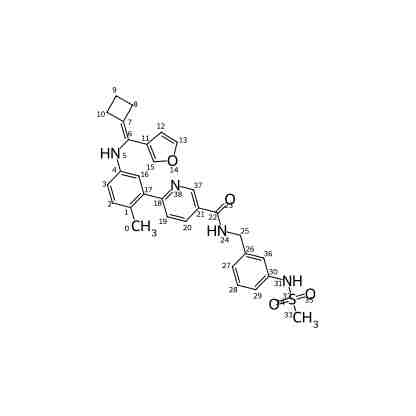 Cc1ccc(NC(=C2CCC2)c2ccoc2)cc1-c1ccc(C(=O)NCc2cccc(NS(C)(=O)=O)c2)cn1